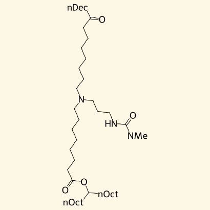 CCCCCCCCCCC(=O)CCCCCCCN(CCCCCCCC(=O)OC(CCCCCCCC)CCCCCCCC)CCCNC(=O)NC